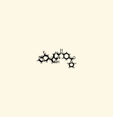 O=C(C1CCC(Nc2ncc3c(-c4cc(F)c5nccn5c4)c[nH]c3n2)CC1)N1CCCC1